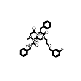 CN1CC(=O)N2[C@@H](Cc3ccccc3)C(=O)N(CCOCc3cccc(F)c3)C[C@@H]2N1C(=O)NCc1ccccc1